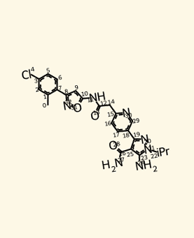 Cc1cc(Cl)ccc1-c1cc(NC(=O)Cc2ccc(-c3nn(C(C)C)c(N)c3C(N)=O)cn2)on1